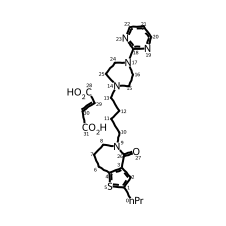 CCCc1cc2c(s1)CCCN(CCCCN1CCN(c3ncccn3)CC1)C2=O.O=C(O)C=CC(=O)O